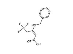 O=C(O)C=C(CC(F)(F)F)NCc1ccccc1